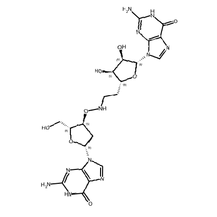 Nc1nc2c(ncn2[C@@H]2O[C@H](CCNO[C@H]3C[C@H](n4cnc5c(=O)[nH]c(N)nc54)O[C@@H]3CO)[C@@H](O)[C@H]2O)c(=O)[nH]1